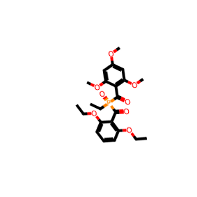 CCOc1cccc(OCC)c1C(=O)P(=O)(CC)C(=O)c1c(OC)cc(OC)cc1OC